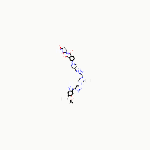 C[C@H]1CN(c2cc(-c3[nH]nc4ccc(OC5(C)CC5)cc34)ncn2)CCN1Cc1cn(CC2CCN(c3ccc4c(c3)C(=O)N(C3CCC(=O)NC3=O)C4=O)CC2)nn1